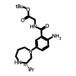 CC(C)[C@H]1CN(c2ccc(N)c(C(=O)NCC(=O)OC(C)(C)C)c2)CCCN1